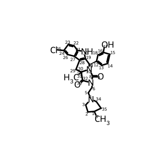 CC1CCN(CCN2C(=O)N3[C@H](c4cccc(O)c4)c4[nH]c5ccc(Cl)cc5c4C[C@@]3(C)C2=O)CC1